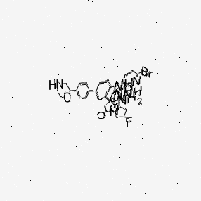 NC(=O)C1(CC(=O)N2C[C@H](F)C[C@H]2C(=O)Nc2cccc(Br)n2)NNc2ccc(-c3ccc(C4CNCCO4)cc3)cc21